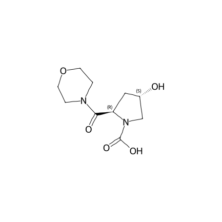 O=C([C@H]1C[C@H](O)CN1C(=O)O)N1CCOCC1